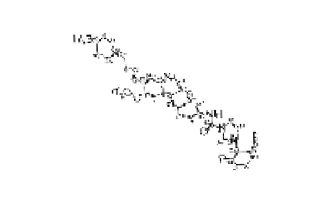 COc1cc2c(Oc3ccc(NC(=O)N4C=CN(c5c(F)cccc5F)C4)cc3F)ccnc2cc1OCCCN1CCC(C)CC1